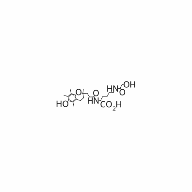 Cc1c(C)c2c(c(C)c1O)CCC(C)(CCC(=O)NC(CCCCNC(=O)CO)C(=O)O)O2